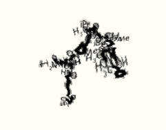 CC[C@H](C)[C@@H]([C@@H](CC(=O)N1CCC[C@H]1[C@H](OC)[C@@H](C)C(=O)N[C@H](C)[C@@H](O)c1ccccc1)OC)N(C)C(=O)CNC(=O)C(C(C)C)N(C)C(=O)OCc1ccc(NC(=O)[C@H](CCCNC(N)=O)NC(=O)CNC(=O)CCCCCN2C(=O)CC(C(C)C)C2=O)cc1